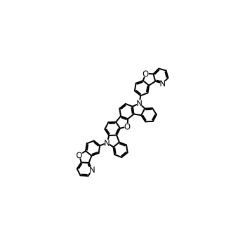 c1cnc2c(c1)oc1ccc(-n3c4ccccc4c4c5oc6c(ccc7c6c6ccccc6n7-c6ccc7oc8cccnc8c7c6)c5ccc43)cc12